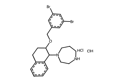 Brc1cc(Br)cc(COC2CCc3ccccc3C2N2CCCNCC2)c1.Cl.Cl